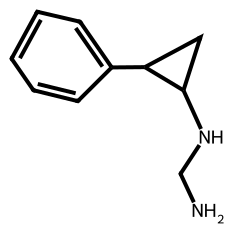 NCNC1CC1c1ccccc1